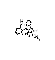 Cc1cc2c([nH]1)c1ccccc1n2-c1c(C)cccc1C